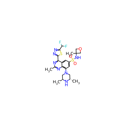 Cc1nc(-c2nnc(C(F)F)s2)c2cc(S(=O)(=O)NC3(C)COC3)cc(N3C[C@H](C)N[C@@H](C)C3)c2n1